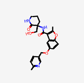 Cc1ccc(COc2ccc3oc(C)c(C(=O)NC4(CO)CCCNC4=O)c3c2)cn1